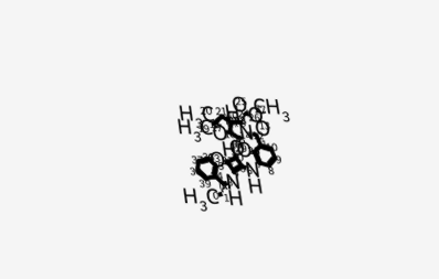 CC[C@@H](Nc1c(Nc2cccc(C(=O)N3CC4OC(C)(C)C[C@@H]4[C@H]3C(=O)OC)c2O)c(=O)c1=O)c1ccccc1